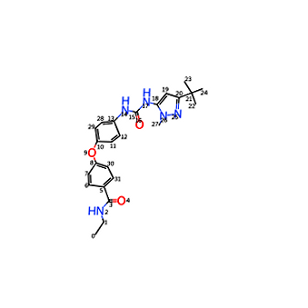 CCNC(=O)c1ccc(Oc2ccc(NC(=O)Nc3cc(C(C)(C)C)nn3C)cc2)cc1